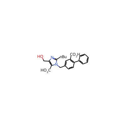 CCCCc1nc(CO)c(C(=O)O)n1Cc1ccc(-c2ccccc2)c(C(=O)O)c1